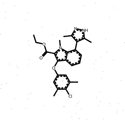 CCOC(=O)c1c(Oc2cc(C)c(Cl)c(C)c2)c2cccc(-c3c(C)n[nH]c3C)c2n1C